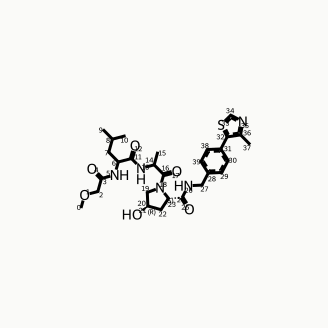 COCC(=O)NC(CC(C)C)C(=O)NC(C)C(=O)N1C[C@H](O)C[C@H]1C(=O)NCc1ccc(-c2scnc2C)cc1